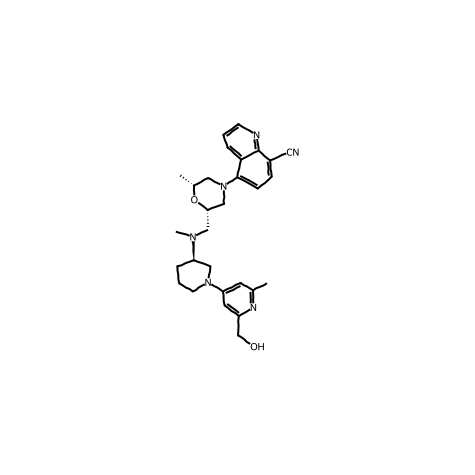 Cc1cc(N2CCC[C@@H](N(C)C[C@H]3CN(c4ccc(C#N)c5ncccc45)C[C@@H](C)O3)C2)cc(CO)n1